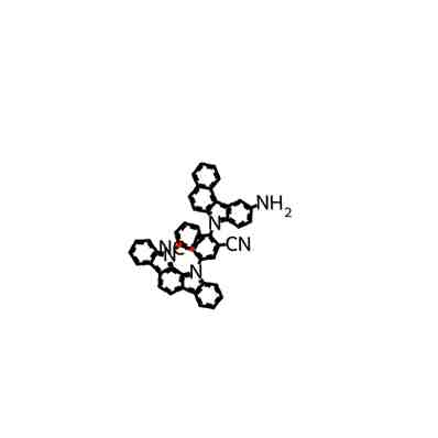 N#Cc1cc(-n2c3ccccc3c3ccc4c5ccccc5n(-c5ccccc5)c4c32)c(C#N)cc1-n1c2ccc(N)cc2c2c3ccccc3ccc21